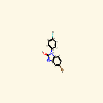 O=c1[nH]c2cc(Br)ccc2n1-c1ccc(F)cc1